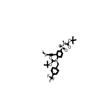 CN(C(=O)OC(C)(C)C)S(=O)(=O)c1ccc(N(Cc2ccc(C(F)(F)F)cc2)C(=O)OC(C)(C)C)c(C#CSI)c1